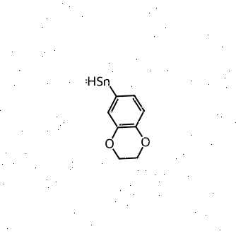 [SnH][c]1ccc2c(c1)OCCO2